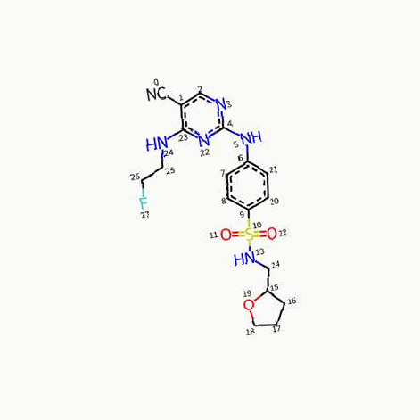 N#Cc1cnc(Nc2ccc(S(=O)(=O)NCC3CCCO3)cc2)nc1NCCF